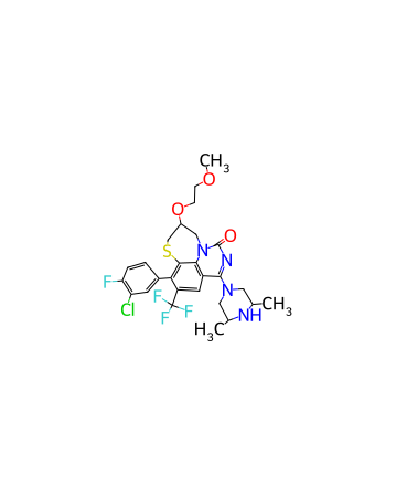 COCCOC1CSc2c(-c3ccc(F)c(Cl)c3)c(C(F)(F)F)cc3c(N4CC(C)NC(C)C4)nc(=O)n(c23)C1